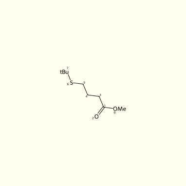 COC(=O)CCCSC(C)(C)C